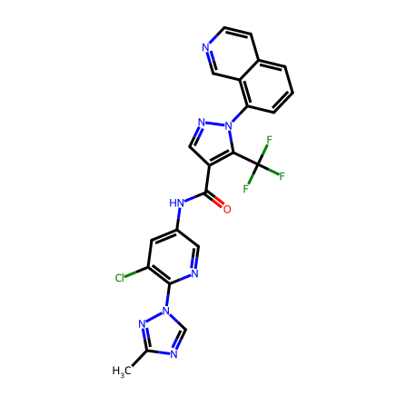 Cc1ncn(-c2ncc(NC(=O)c3cnn(-c4cccc5ccncc45)c3C(F)(F)F)cc2Cl)n1